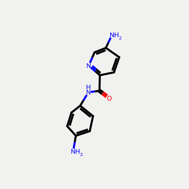 Nc1ccc(NC(=O)c2ccc(N)cn2)cc1